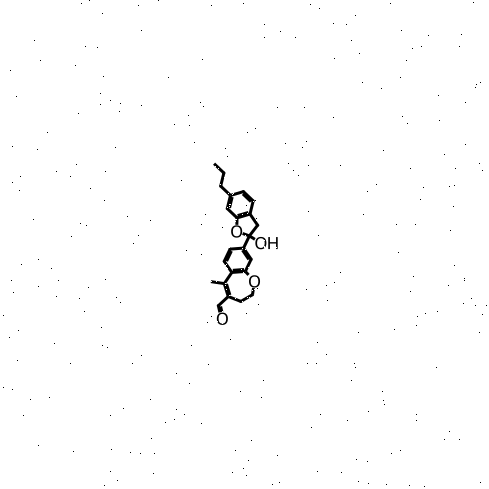 CCCc1ccc2c(c1)OC(O)(c1ccc3c(c1)OCCC(C=O)=C3C)C2